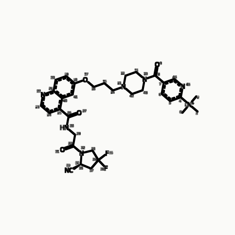 C[N+](C)(C)c1ccc(C(=O)N2CCN(CCCOc3ccc4nccc(C(=O)NCC(=O)N5CC(F)(F)C[C@H]5C#N)c4c3)CC2)cn1